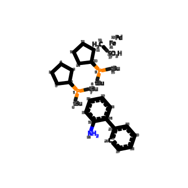 CC(C)(C)P([C]1[CH][CH][CH][CH]1)C(C)(C)C.CC(C)(C)P([C]1[CH][CH][CH][CH]1)C(C)(C)C.CS(=O)(=O)O.Nc1ccccc1-c1[c-]cccc1.[Fe].[Pd]